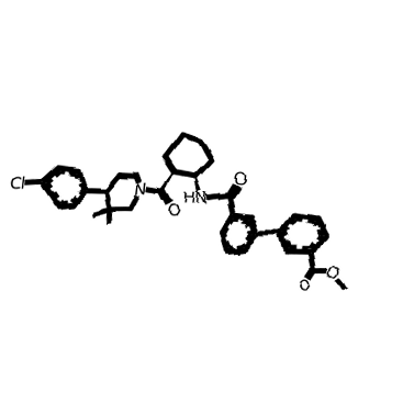 COC(=O)c1cccc(-c2cccc(C(=O)N[C@@H]3CCCC[C@@H]3C(=O)N3CCC(c4ccc(Cl)cc4)C(C)(C)C3)c2)c1